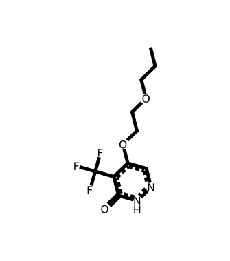 CCCOCCOc1cn[nH]c(=O)c1C(F)(F)F